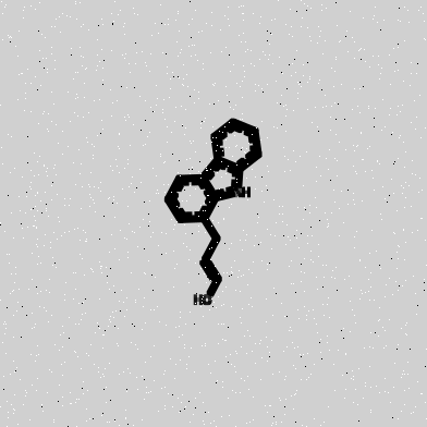 OC=CCc1cccc2c1[nH]c1ccccc12